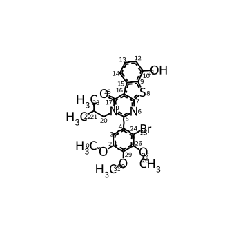 COc1cc(-c2nc3sc4c(O)cccc4c3c(=O)n2CC(C)C)c(Br)c(OC)c1OC